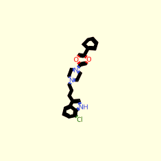 Clc1cccc2c(CCCN3CCN(C4=COC(C5=CC=CCC5)=CO4)CC3)c[nH]c12